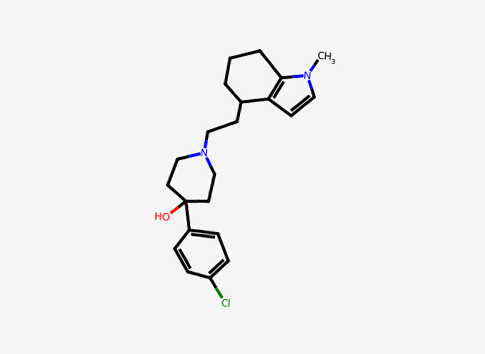 Cn1ccc2c1CCCC2CCN1CCC(O)(c2ccc(Cl)cc2)CC1